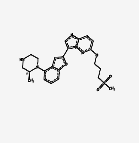 C[C@H]1CNCCN1c1cccc2oc(-c3cnc4ccc(OCCCS(C)(=O)=O)nn34)cc12